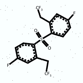 O=S(=O)(c1ccc(F)cc1CC(F)(F)F)c1ccc(F)cc1CC(F)(F)F